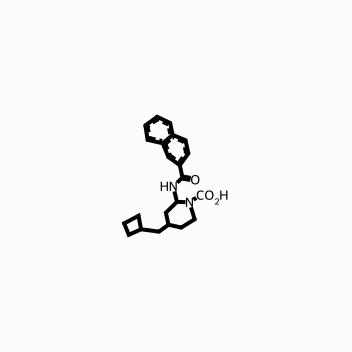 O=C(NC1CC(CC2CCC2)CCN1C(=O)O)c1ccc2ccccc2c1